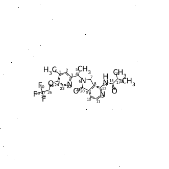 Cc1cc(C(C)N2Cc3c(ccnc3NC(=O)C(C)C)C2=O)ncc1OCC(F)(F)F